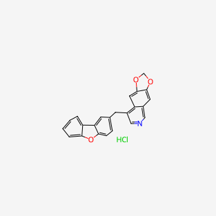 Cl.c1ccc2c(c1)oc1ccc(Cc3cncc4cc5c(cc34)OCO5)cc12